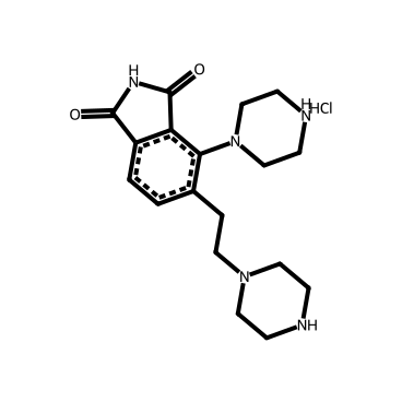 Cl.O=C1NC(=O)c2c1ccc(CCN1CCNCC1)c2N1CCNCC1